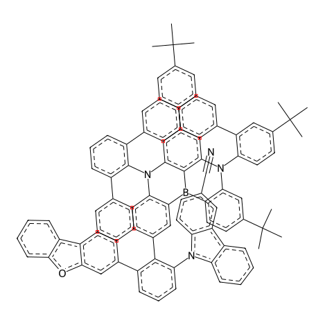 CC(C)(C)c1ccc(-c2cc3c4c(c2)N(c2c(-c5ccccc5)cccc2-c2ccccc2)c2ccc(-c5c(-c6ccc7c(c6)oc6ccccc67)cccc5-n5c6ccccc6c6cc(C#N)ccc65)cc2B4c2ccc(C(C)(C)C)cc2N3c2ccc(C(C)(C)C)cc2-c2ccccc2)cc1